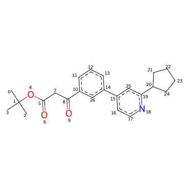 CC(C)(C)OC(=O)CC(=O)c1cccc(-c2ccnc(C3CCCC3)c2)c1